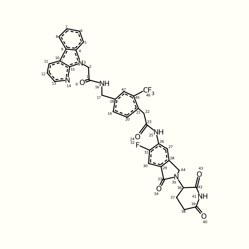 O=C(Cn1c2ccccc2c2cccnc21)NCc1ccc(CC(=O)Nc2cc3c(cc2F)C(=O)N(C2CCC(=O)NC2=O)C3)c(C(F)(F)F)c1